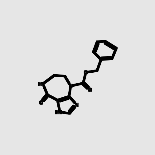 O=C1NCCN(C(=O)OCc2ccccc2)c2nc[nH]c21